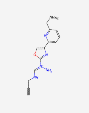 C#CCNC=[N+](N)c1nc(-c2cccc(CNC(C)=O)n2)co1